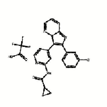 O=C(Nc1cc(-c2c(-c3cccc(Cl)c3)nc3cccnn23)ccn1)C1CC1.O=C(O)C(F)(F)F